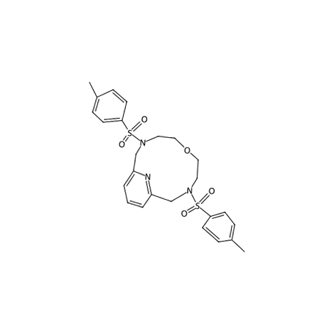 Cc1ccc(S(=O)(=O)N2CCOCCN(S(=O)(=O)c3ccc(C)cc3)Cc3cccc(n3)C2)cc1